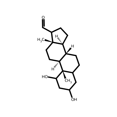 C[C@]12C(O)CC(O)CC1CC[C@@H]1[C@@H]2CC[C@]2(C)C(C=O)CC[C@@H]12